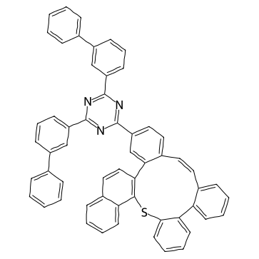 C1=C\c2ccc(-c3nc(-c4cccc(-c5ccccc5)c4)nc(-c4cccc(-c5ccccc5)c4)n3)cc2-c2ccc3ccccc3c2Sc2ccccc2-c2ccccc2/1